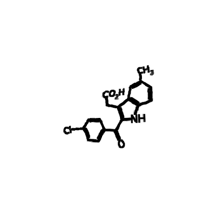 Cc1ccc2[nH]c(C(=O)c3ccc(Cl)cc3)c(CC(=O)O)c2c1